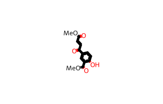 COC(=O)/C=C/C(=O)c1ccc(O)c(C(=O)OC)c1